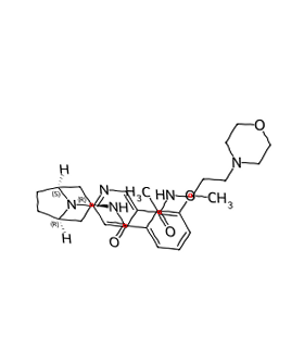 COc1cccc(C(=O)N[C@H]2C[C@H]3CC[C@@H](C2)N3c2ccc(C(=O)NCCCN3CCOCC3)cn2)c1C